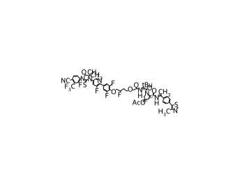 CC(=O)O[C@@H]1C[C@@H](C(=O)N[C@@H](C)c2ccc(-c3scnc3C)cc2)N(C(=O)[C@@H](NC(=O)COCCC(F)COc2c(F)cc(-c3ncc(N4C(=S)N(c5ccc(C#N)c(C(F)(F)F)c5F)C(=O)C4(C)C)cc3F)cc2F)C(C)(C)C)C1